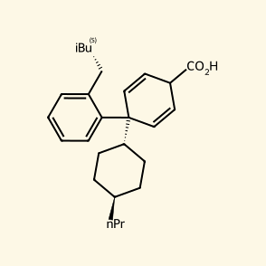 CCC[C@H]1CC[C@H](C2(c3ccccc3C[C@@H](C)CC)C=CC(C(=O)O)C=C2)CC1